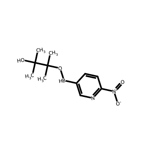 CC(C)(O)C(C)(C)OBc1ccc([N+](=O)[O-])nc1